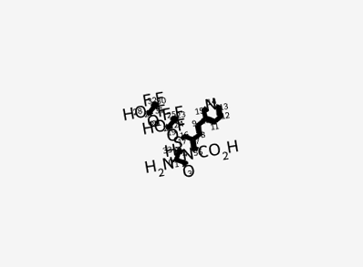 N[C@@H]1C(=O)N2C(C(=O)O)=C(/C=C/c3cccnc3)CS[C@@H]12.O=C(O)C(F)(F)F.O=C(O)C(F)(F)F